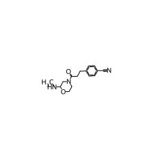 CNC1CN(C(=O)CCc2ccc(C#N)cc2)CCO1